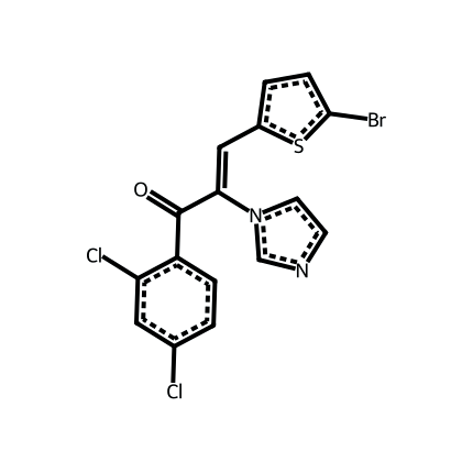 O=C(C(=Cc1ccc(Br)s1)n1ccnc1)c1ccc(Cl)cc1Cl